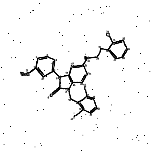 COc1cccc(-n2c(=O)n(Cc3c(F)cccc3F)c3cnc(NCCc4ccccc4Cl)nc32)c1